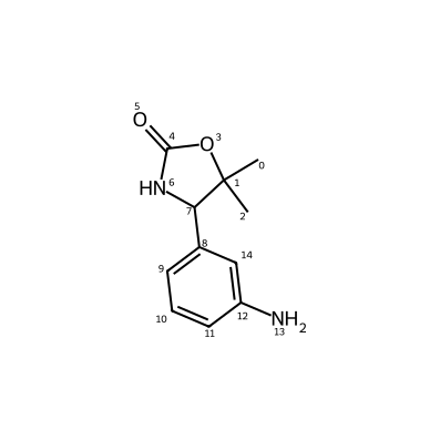 CC1(C)OC(=O)NC1c1cccc(N)c1